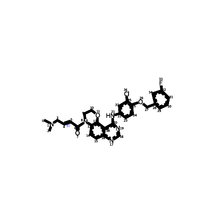 CN(C)C/C=C/C(=O)N1CCOc2c1ccc1ncnc(Nc3ccc(OCc4cccc(F)c4)c(Cl)c3)c21